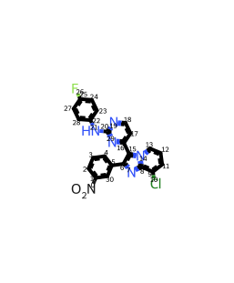 O=[N+]([O-])c1cccc(-c2nc3c(Cl)cccn3c2-c2ccnc(Nc3ccc(F)cc3)n2)c1